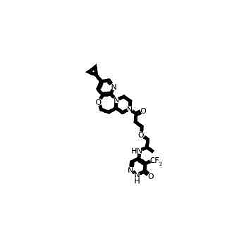 CC(COCCC(=O)N1CCN2c3ncc(C4CC4)cc3OCCC2C1)Nc1cn[nH]c(=O)c1C(F)(F)F